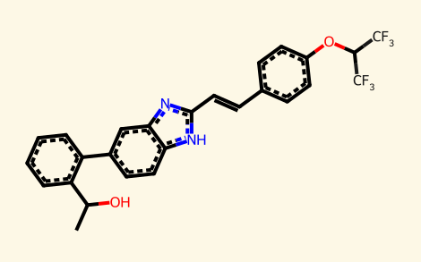 CC(O)c1ccccc1-c1ccc2[nH]c(/C=C/c3ccc(OC(C(F)(F)F)C(F)(F)F)cc3)nc2c1